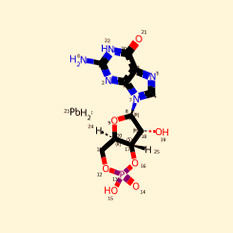 Nc1nc2c(ncn2[C@@H]2O[C@@H]3COP(=O)(O)O[C@H]3[C@H]2O)c(=O)[nH]1.[PbH2]